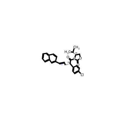 CC(C)[C@@H]1COC(=O)N1C(=O)[C@@H](C/C=C/c1ccc2ccccc2c1)c1ccc(Cl)cc1